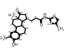 Cc1cnc(NC(=O)CC[C@@H]2CC(=O)[C@@]3(C)CCC4c5cc([N+](=O)[O-])c(O)cc5CCC4C23)s1